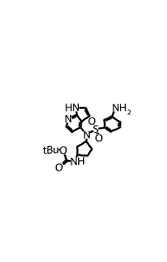 CC(C)(C)OC(=O)NC1CCC(N(c2ccnc3[nH]ccc23)S(=O)(=O)c2cccc(N)c2)C1